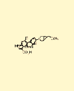 COCC1C2CN(c3ccc(-c4cc5c(C(=O)O)c[nH]c5cc4Cl)c(OC)n3)CC12